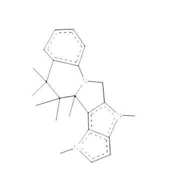 Cn1ccc2c1c1c(n2C)CN2c3ccccc3C(C)(C)C(C)(C)C12C